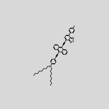 CCCCCCCCN(CCCCCCCC)c1ccc(C#Cc2c3ccccc3c(C#Cc3ccc(-c4ccc(C)cc4)c4nsnc34)c3ccccc23)cc1